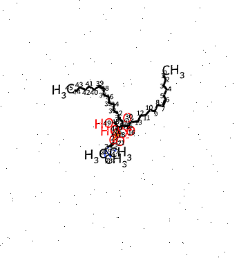 CCCCCC/C=C\CCCCCCCC(=O)C(OP(=O)([O-])OCC[N+](C)(C)C)(C(=O)CCCCCCC/C=C\CCCCCC)[C@@H](O)CO